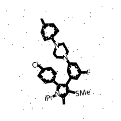 CSc1c(-c2cc(F)cc(N3CCN(c4ccc(C)cc4)CC3)c2)c(-c2ccc(Cl)cc2)n(C(C)C)c1C